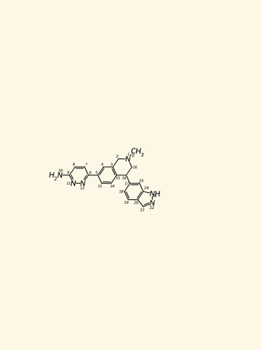 CN1Cc2cc(-c3ccc(N)nn3)ccc2C(c2ccc3cn[nH]c3c2)C1